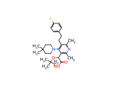 Cc1nc(C)c(C(OC(C)(C)C)C(=O)O)c(N2CCC(C)(C)CC2)c1CCc1ccc(F)cc1